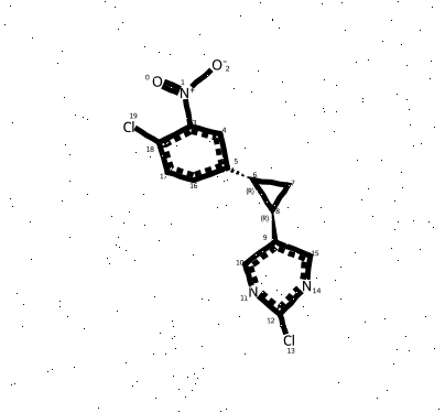 O=[N+]([O-])c1cc([C@@H]2C[C@H]2c2cnc(Cl)nc2)ccc1Cl